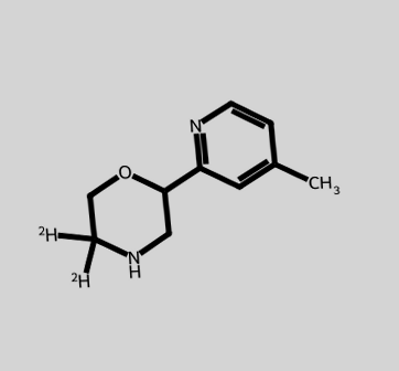 [2H]C1([2H])COC(c2cc(C)ccn2)CN1